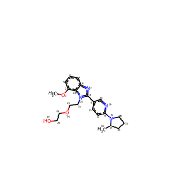 COc1cccc2nc(-c3ccc(N4CCCC4C)nc3)n(CCOCCO)c12